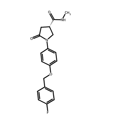 CNC(=O)[C@H]1CC(=O)N(c2ccc(OCc3ccc(F)cc3)cc2)C1